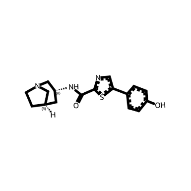 O=C(N[C@@H]1C[C@H]2CCN(C2)C1)c1ncc(-c2ccc(O)cc2)s1